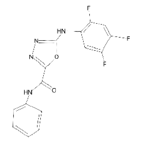 O=C(Nc1ccccc1)c1nnc(Nc2cc(F)c(F)cc2F)o1